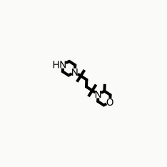 CC1COCCN1C(C)(C)CCC(C)(C)N1CCNCC1